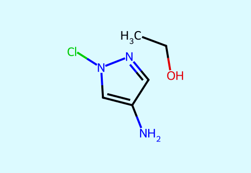 CCO.Nc1cnn(Cl)c1